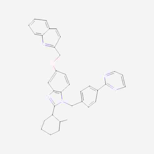 O=C(O)C1CCCCC1c1nc2cc(OCc3ccc4ccccc4n3)ccc2n1Cc1ccc(-c2ncccn2)cc1